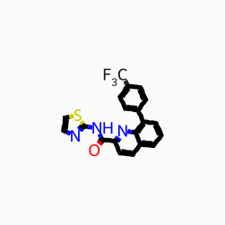 O=C(Nc1nccs1)c1ccc2cccc(-c3ccc(C(F)(F)F)cc3)c2n1